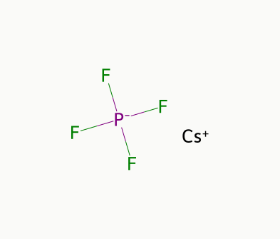 F[P-](F)(F)F.[Cs+]